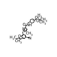 Cc1cc(C(=O)NCC2CCN(C(=O)OC(C)(C)C)CC2)nn1Cc1cc(C#N)cc2cc(C(C)C)oc12